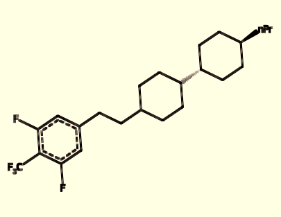 CCC[C@H]1CC[C@H](C2CCC(CCc3cc(F)c(C(F)(F)F)c(F)c3)CC2)CC1